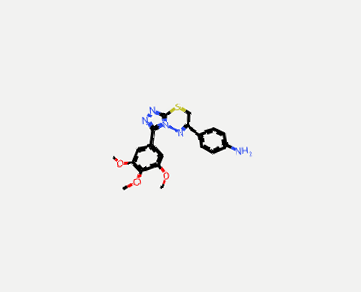 COc1cc(-c2nnc3n2N=C(c2ccc(N)cc2)CS3)cc(OC)c1OC